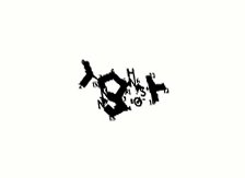 CC(C)[C@@H]1C[C@@H](N[S@@+]([O-])C(C)(C)C)c2ccnn21